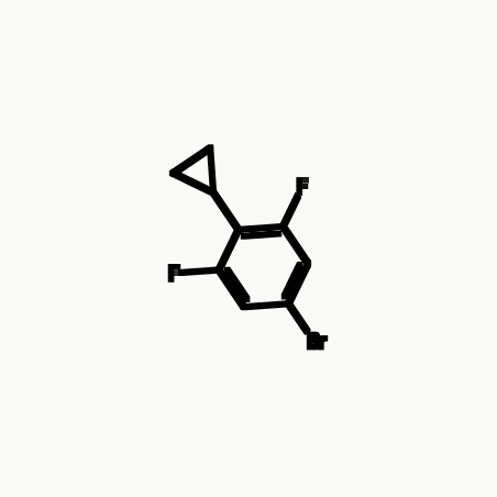 Fc1cc(Br)cc(F)c1C1CC1